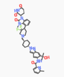 Cc1cccc(C(=O)Nc2cc3cn([C@H]4CC[C@H](CN5CCC(c6cccc7c6n(C)c(=O)n7C6CCC(=O)NC6=O)C(F)(F)C5)CC4)nc3cc2C(C)(C)O)n1